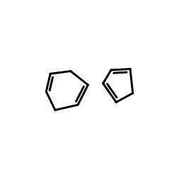 C1=CCC=C1.C1=CCC=CC1